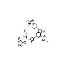 CCS(=O)(=O)N1CCC(c2c[nH]c3c(C(N)=O)cc(-c4csc(CN(C)CC5CC5)c4)cc23)CC1.O=C(O)C(F)(F)F